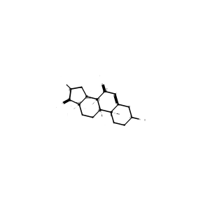 C[C@]12CCC(O)CC1=CC(=O)[C@@H]1[C@H]2CC[C@]2(C)C(=O)C(O)C[C@@H]12